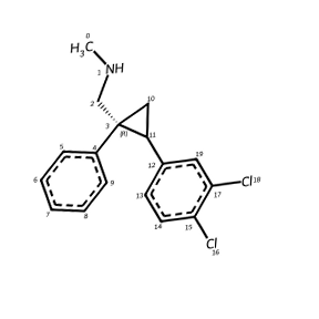 CNC[C@]1(c2ccccc2)CC1c1ccc(Cl)c(Cl)c1